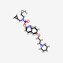 CCCN(CC1CC1)C(=O)Oc1ccc2cc(OCCCN3CCCCC3)ccc2n1